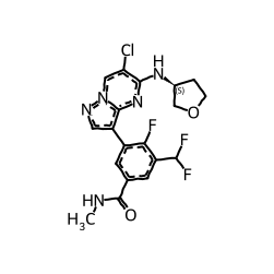 CNC(=O)c1cc(-c2cnn3cc(Cl)c(N[C@H]4CCOC4)nc23)c(F)c(C(F)F)c1